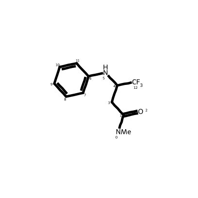 CNC(=O)CC(Nc1ccccc1)C(F)(F)F